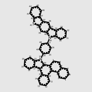 c1ccc2c(c1)ccc1c2c2ccccc2c2c3ccccc3n(-c3ccc(-n4c5ccccc5c5cc6c(cc54)sc4ccccc46)cc3)c12